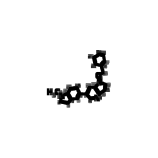 Cn1ccc2cc(-c3cnc4ccn(OCc5ccccc5)c4c3)ccc21